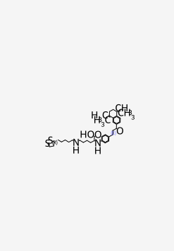 CC1(C)CCC(C)(C)c2cc(C(=O)/C=C/c3ccc(NC(CCCCNCCCCC[C@@H]4CCSS4)C(=O)O)cc3)ccc21